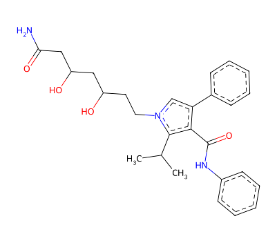 CC(C)c1c(C(=O)Nc2ccccc2)c(-c2ccccc2)cn1CCC(O)CC(O)CC(N)=O